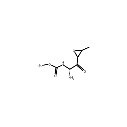 CC1OC1C(=O)[C@H](N)NC(=O)OC(C)(C)C